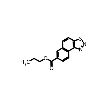 CCCOC(=O)c1ccc2c(ccc3snnc32)c1